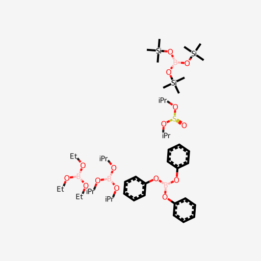 CC(C)OB(OC(C)C)OC(C)C.CC(C)OS(=O)OC(C)C.CCOB(OCC)OCC.C[Si](C)(C)OB(O[Si](C)(C)C)O[Si](C)(C)C.c1ccc(OB(Oc2ccccc2)Oc2ccccc2)cc1